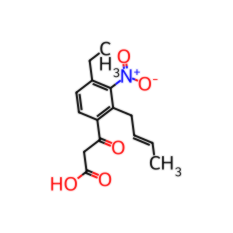 CC=CCc1c(C(=O)CC(=O)O)ccc(CC)c1[N+](=O)[O-]